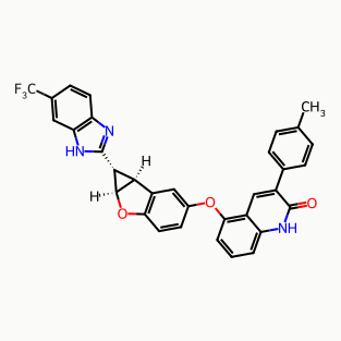 Cc1ccc(-c2cc3c(Oc4ccc5c(c4)[C@H]4[C@@H](O5)[C@@H]4c4nc5ccc(C(F)(F)F)cc5[nH]4)cccc3[nH]c2=O)cc1